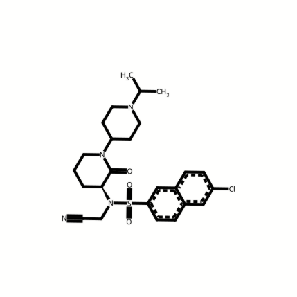 CC(C)N1CCC(N2CCC[C@H](N(CC#N)S(=O)(=O)c3ccc4cc(Cl)ccc4c3)C2=O)CC1